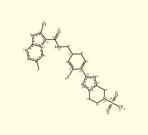 CCc1nc2ncc(C)cn2c1C(=O)NCC1C=C(F)C(c2nc3n(n2)CCN(S(=O)(=O)C(F)(F)F)C3)=CC1